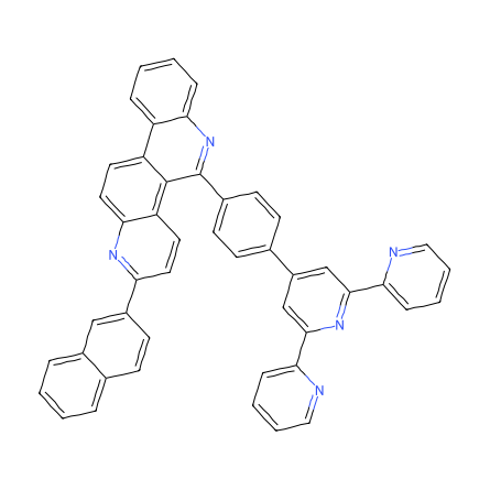 c1ccc(-c2cc(-c3ccc(-c4nc5ccccc5c5ccc6nc(-c7ccc8ccccc8c7)ccc6c45)cc3)cc(-c3ccccn3)n2)nc1